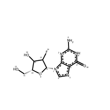 Nc1nc2c(ncn2[C@@H]2O[C@H](CO)C(O)C2F)c(=O)[nH]1